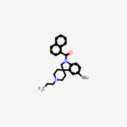 CC(C)(C)c1ccc2c(c1)C1(CCN(CCC(F)(F)F)CC1)CN2C(=O)c1cccc2ccccc12